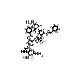 NC1=NC2=C(NCN2[C@H]2CC(OCc3ccccc3)[C@@H](COP(=O)(O)O[C@@H]3C[C@H](n4cnc(N)nc4=O)O[C@@H]3COCc3ccccc3)O2)C(O)N1